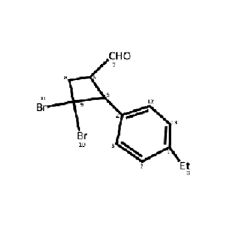 CCc1ccc(C2C(C=O)CC2(Br)Br)cc1